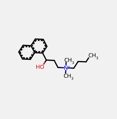 CCCC[N+](C)(C)CCC(O)c1cccc2ccccc12